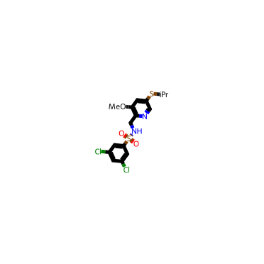 COc1cc(SC(C)C)cnc1CNS(=O)(=O)c1cc(Cl)cc(Cl)c1